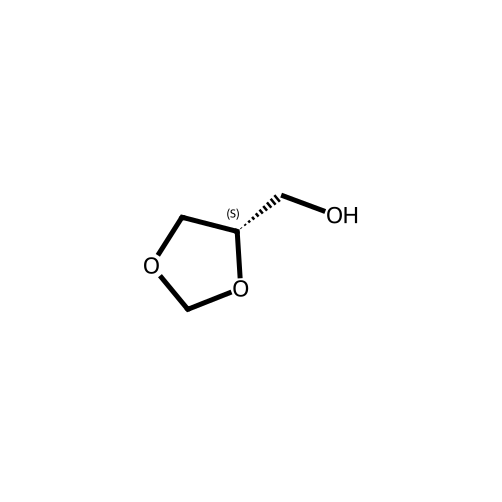 OC[C@H]1COCO1